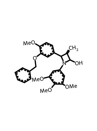 C=C1C(O)N(c2cc(OC)c(OC)c(OC)c2)C1c1ccc(OC)c(OCc2ccccc2)c1